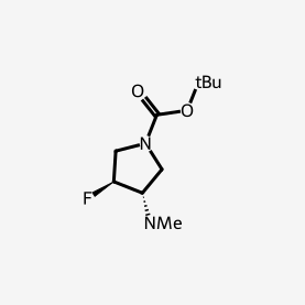 CN[C@H]1CN(C(=O)OC(C)(C)C)C[C@@H]1F